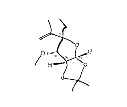 C=C(C)[C@]1(CC)O[C@@H]2OC(C)(C)O[C@@H]2[C@@H]1OC